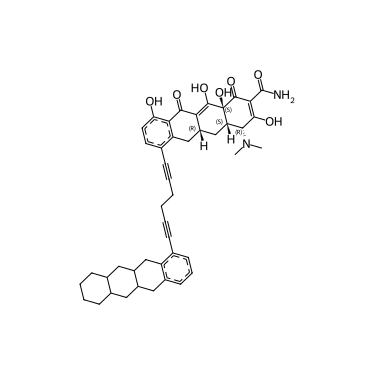 CN(C)[C@H]1C(O)=C(C(N)=O)C(=O)[C@@]2(O)C(O)=C3C(=O)c4c(O)ccc(C#CCCC#Cc5cccc6c5CC5CC7CCCCC7CC5C6)c4C[C@H]3C[C@@H]12